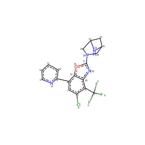 FC(F)(F)c1c(Cl)cc(-c2ccccn2)c2oc(N3CC4CC(C3)N4)nc12